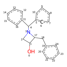 OC1CN(C(c2ccccc2)c2ccccc2)C1Cc1ccccc1